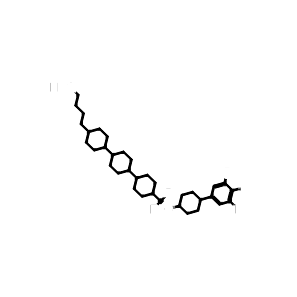 CCCCCC1CCC(C2CCC(C3CCC(C(F)(F)OC4CCC(c5cc(F)c(F)c(F)c5)CC4)CC3)CC2)CC1